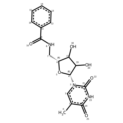 Cc1cn([C@@H]2O[C@H](CNC(=O)c3ccccc3)C(O)C2O)c(=O)[nH]c1=O